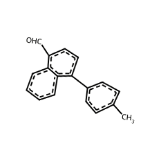 Cc1ccc(-c2ccc(C=O)c3ccccc23)cc1